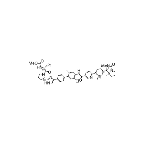 CNC(=O)N1CCC[C@@]1(C)C(=O)N1CCN(c2ccc(C(=O)Nc3cc(C)c(-c4ccc(-c5c[nH]c([C@@H]6CCCN6C(=O)[C@@H](NC(=O)OC)C(C)C)n5)cc4)cc3Cl)cn2)[C@H](C)C1